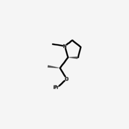 CC(C)O[C@H](C)[C@H]1CCCN1C